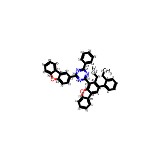 CCc1ccccc1-c1cc2c(oc3ccccc32)c(-c2nc(-c3ccccc3)nc(-c3ccc4oc5ccccc5c4c3)n2)c1CC